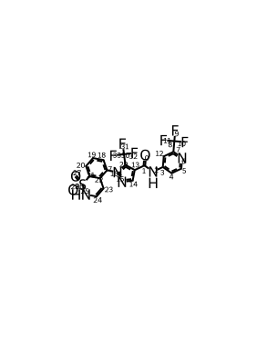 O=C(Nc1ccnc(C(F)(F)F)c1)c1cnn(-c2cccc3c2C=CNS3(=O)=O)c1C(F)(F)F